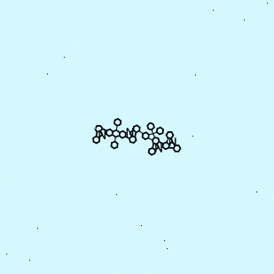 c1ccc(-c2c3cc4c5cccc6c7c(-c8ccc9c(c8)C(c8ccccc8)(c8ccccc8)c8cc%10c%11c%12c%13ccccc%13n%13c%14ccccc%14c(cc%11n%11c%14ccccc%14c(c8-9)c%10%11)c%12%13)cccc7n(c4cc3c(-c3ccccc3)c3cc4c7cccc8c9ccccc9n(c4cc23)c87)c56)cc1